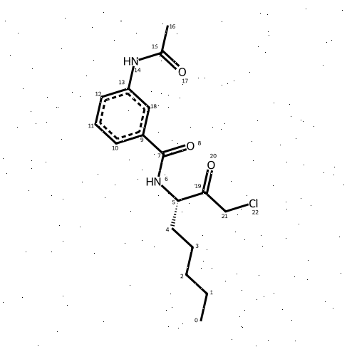 CCCCC[C@H](NC(=O)c1cccc(NC(C)=O)c1)C(=O)CCl